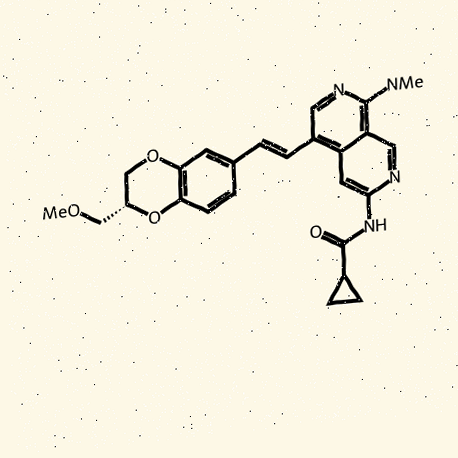 CNc1ncc(/C=C/c2ccc3c(c2)OC[C@@H](COC)O3)c2cc(NC(=O)C3CC3)ncc12